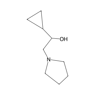 OC(CN1CCCC1)C1CC1